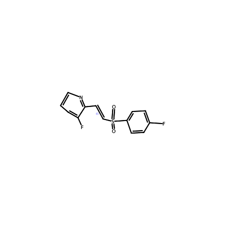 O=S(=O)(/C=C/c1ncccc1F)c1ccc(F)cc1